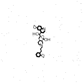 COc1ccc2nccc([C@H](O)CC[C@@H]3CCN(CCCc4ccccc4OC)C[C@@H]3C(=O)O)c2c1